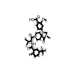 COc1cc(N2CN(C)C(=O)C23CCN(C(=O)[C@H](NC(=O)c2cc(C(F)(F)F)ccc2F)C(C)C)CC3)ccc1C(=O)O